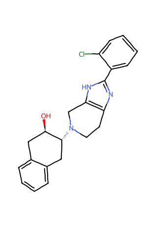 O[C@@H]1Cc2ccccc2C[C@H]1N1CCc2nc(-c3ccccc3Cl)[nH]c2C1